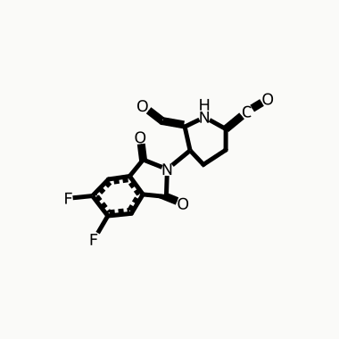 O=C=C1CCC(N2C(=O)c3cc(F)c(F)cc3C2=O)C(=C=O)N1